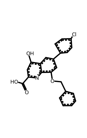 O=C(O)c1cc(O)c2cc(-c3ccc(Cl)cc3)cc(OCc3ccccc3)c2n1